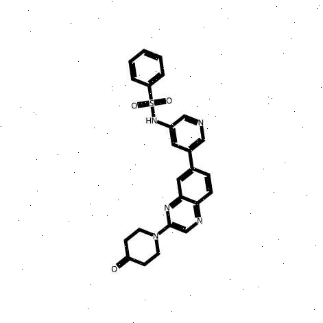 O=C1CCN(c2cnc3ccc(-c4cncc(NS(=O)(=O)c5ccccc5)c4)cc3n2)CC1